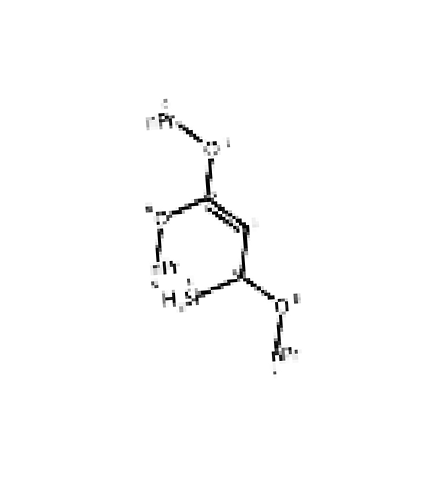 CCCOC(=CC([SiH3])OCCC)OCCC